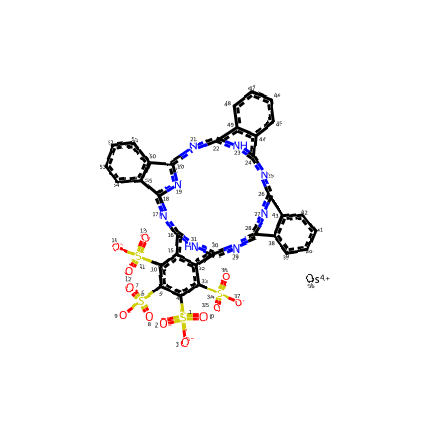 O=S(=O)([O-])c1c(S(=O)(=O)[O-])c(S(=O)(=O)[O-])c2c3nc4nc(nc5[nH]c(nc6nc(nc([nH]3)c2c1S(=O)(=O)[O-])-c1ccccc1-6)c1ccccc51)-c1ccccc1-4.[Os+4]